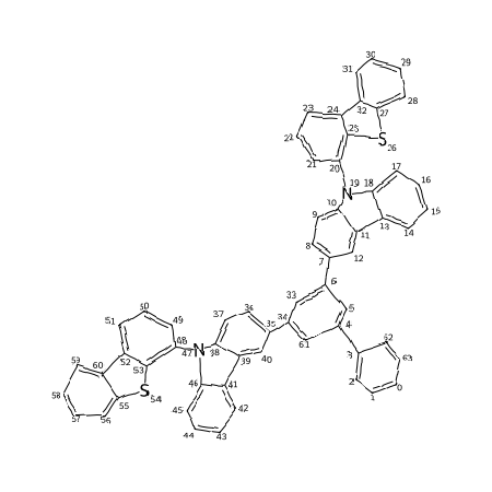 c1ccc(-c2cc(-c3ccc4c(c3)c3ccccc3n4-c3cccc4c3sc3ccccc34)cc(-c3ccc4c(c3)c3ccccc3n4-c3cccc4c3sc3ccccc34)c2)cc1